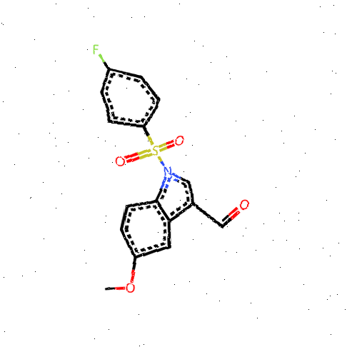 COc1ccc2c(c1)c(C=O)cn2S(=O)(=O)c1ccc(F)cc1